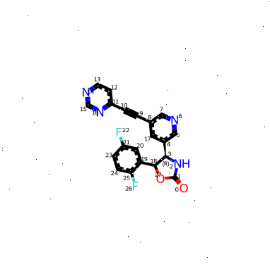 O=C1N[C@H](c2cncc(C#Cc3ccncn3)c2)C(c2cc(F)ccc2F)O1